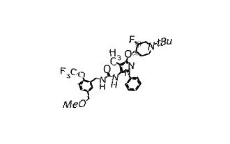 COCc1ccc(OC(F)(F)F)c(CNC(=O)Nc2c(C)c(O[C@H]3CCN(C(C)(C)C)C[C@@H]3F)nn2-c2ccccc2)c1